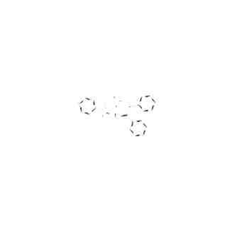 Cc1ccc(S(=O)(=O)OS(=O)(=O)OC(C(=O)c2ccccc2)c2ccccc2)cc1